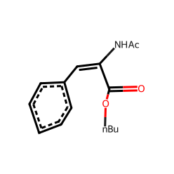 CCCCOC(=O)C(=Cc1ccccc1)NC(C)=O